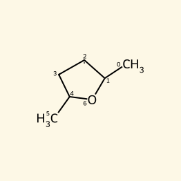 CC1[CH]CC(C)O1